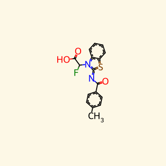 Cc1ccc(C(=O)N=c2sc3ccccc3n2C(F)C(=O)O)cc1